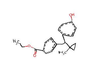 CCOC(=O)c1ccc(C(c2ccc(O)cc2)C2(C)CC2)cc1